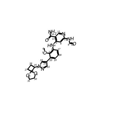 COc1c(Nc2cc(NC=O)ncc2C(N)=O)cccc1-c1cnn(C2CCC23OCCO3)c1